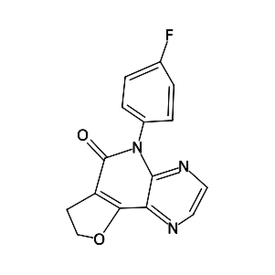 O=c1c2c(c3nccnc3n1-c1ccc(F)cc1)OCC2